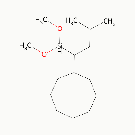 CO[SiH](OC)C(CC(C)C)C1CCCCCCC1